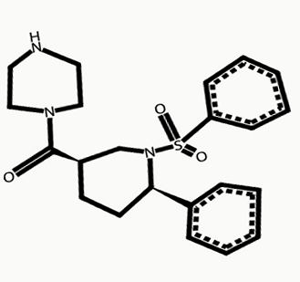 O=C([C@@H]1CC[C@H](c2ccccc2)N(S(=O)(=O)c2ccccc2)C1)N1CCNCC1